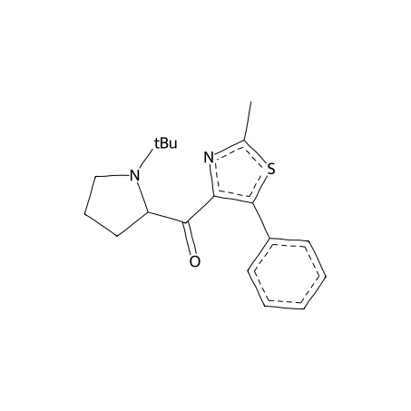 Cc1nc(C(=O)C2CCCN2C(C)(C)C)c(-c2ccccc2)s1